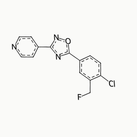 FCc1cc(-c2nc(-c3ccncc3)no2)ccc1Cl